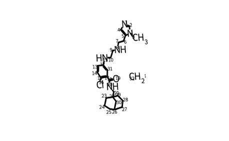 Cn1cncc1CCNCCNc1ccc(Cl)c(C(=O)NCC23CCCC(CCC2)C3)c1.[CH2]